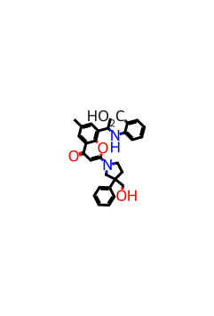 Cc1cc(C(C)Nc2ccccc2C(=O)O)c2oc(N3CCC(CO)(c4ccccc4)C3)cc(=O)c2c1